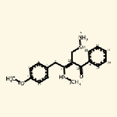 CNC(Cc1ccc(OC)cc1)=C(CSN)C(=O)c1ccccc1